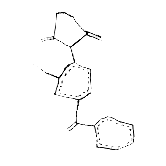 O=C(c1ccccc1)c1ccc(C2C(=O)CCC2=O)c(Br)c1